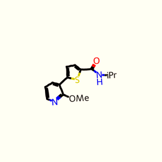 COc1ncccc1-c1ccc(C(=O)NC(C)C)s1